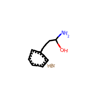 Br.NC(O)Cc1ccccc1